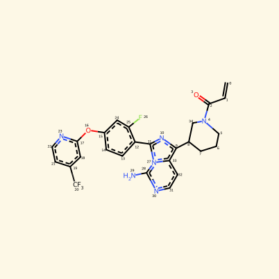 C=CC(=O)N1CCCC(c2nc(-c3ccc(Oc4cc(C(F)(F)F)ccn4)cc3F)n3c(N)nccc23)C1